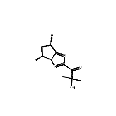 C[C@H]1C[C@@H](F)c2nc(C(=O)C(C)(C)O)nn21